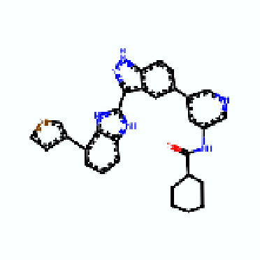 O=C(Nc1cncc(-c2ccc3[nH]nc(-c4nc5c(-c6ccsc6)cccc5[nH]4)c3c2)c1)C1CCCCC1